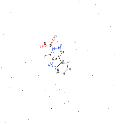 CCN(/N=C\c1c[nH]c2ccccc12)C(=O)O